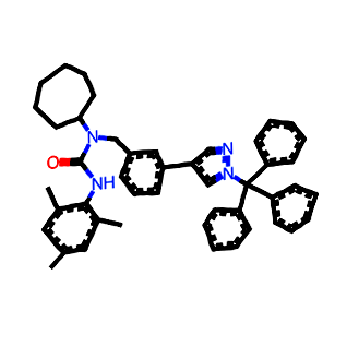 Cc1cc(C)c(NC(=O)N(Cc2cccc(-c3cnn(C(c4ccccc4)(c4ccccc4)c4ccccc4)c3)c2)C2CCCCCC2)c(C)c1